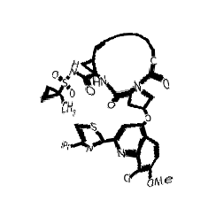 COc1ccc2c(OC3CC4C(=O)NC5(C(=O)NS(=O)(=O)C6(C)CC6)CC5C=CCCCCCC(=O)N4C3)cc(-c3nc(C(C)C)cs3)nc2c1Cl